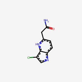 NC(=O)Cc1ccc2ncc(Cl)c-2[nH]1